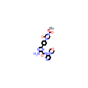 CC(C)(C)OC(=O)N1CCN(c2ccc(-c3cnc(N)c(C(=O)Nc4cnccc4N4CCOCC4)n3)cc2)C(=O)C1